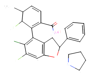 COC1C=CC(C(N)=O)=C(c2c(Cl)c(F)cc3c2[C@H](O)[C@](c2ccccc2)(C2CCCN2)O3)C1F